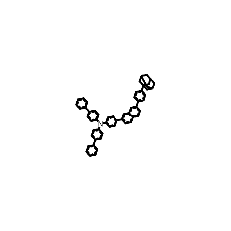 c1ccc(-c2ccc(N(c3ccc(-c4ccccc4)cc3)c3ccc(-c4ccc5ccc(-c6ccc(C78CC9CC(CC(C9)C7)C8)cc6)cc5c4)cc3)cc2)cc1